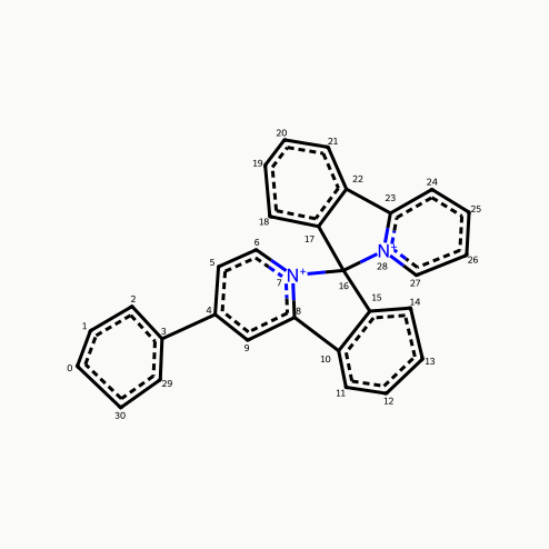 c1ccc(-c2cc[n+]3c(c2)-c2ccccc2C32c3ccccc3-c3cccc[n+]32)cc1